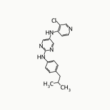 CC(C)Cc1ccc(Nc2ncc(Nc3ccncc3Cl)cn2)cc1